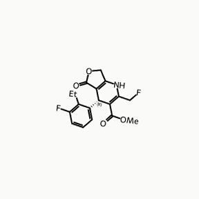 CCc1c(F)cccc1[C@H]1C(C(=O)OC)=C(CF)NC2=C1C(=O)OC2